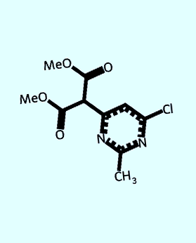 COC(=O)C(C(=O)OC)c1cc(Cl)nc(C)n1